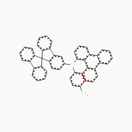 N#Cc1ccc(N(c2ccc3c(c2)-c2ccccc2C32c3ccccc3-c3ccccc32)c2cccc3c4ccccc4c4ccccc4c23)cc1